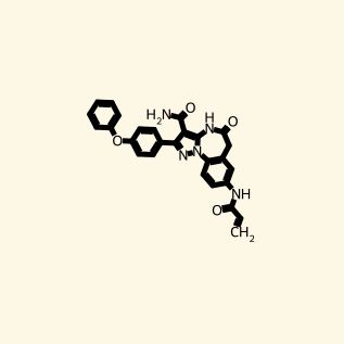 C=CC(=O)Nc1ccc2c(c1)CC(=O)Nc1c(C(N)=O)c(-c3ccc(Oc4ccccc4)cc3)nn1-2